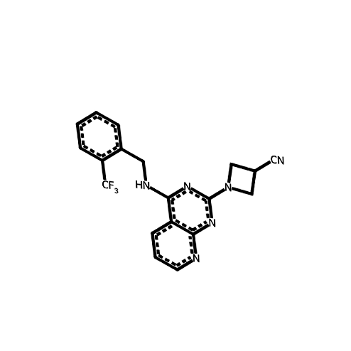 N#CC1CN(c2nc(NCc3ccccc3C(F)(F)F)c3cccnc3n2)C1